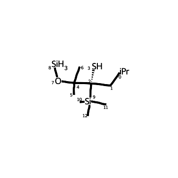 CC(C)C[C@](S)(C(C)(C)O[SiH3])[Si](C)(C)C